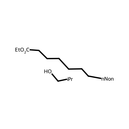 CC(C)CO.CCCCCCCCCCCCCCCC(=O)OCC